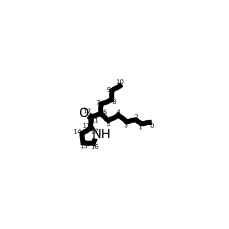 CCCCCCC(CCCC)C(=O)C1CCCN1